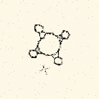 [Cl][Ru]([Cl])([Cl])[Cl].c1ccc2c(c1)-c1nc-2nc2[nH]c(nc3nc(nc4[nH]c(n1)c1ccccc41)-c1ccccc1-3)c1ccccc21